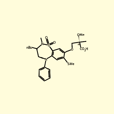 CCCCC1CN(c2ccccc2)c2cc(SC)c(OC[C@](C)(OC)C(=O)O)cc2S(=O)(=O)N1C